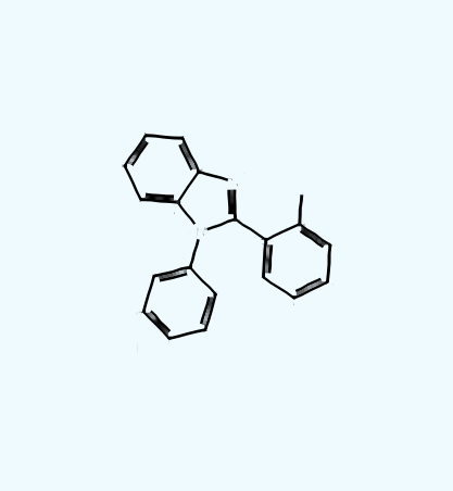 Oc1ccccc1-c1nc2ccccc2n1-c1ccccc1.[LiH]